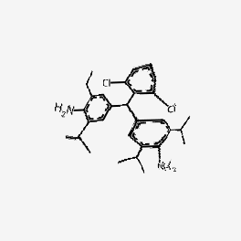 CCc1cc(C(c2cc(C(C)C)c(N)c(C(C)C)c2)c2c(Cl)cccc2Cl)cc(C(C)C)c1N